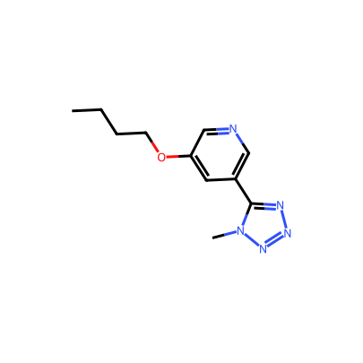 CCCCOc1cncc(-c2nnnn2C)c1